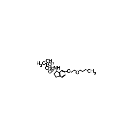 CCCCOCCOc1ccc2c(c1)[C@H](NC(=O)OC(C)(C)C)CC2